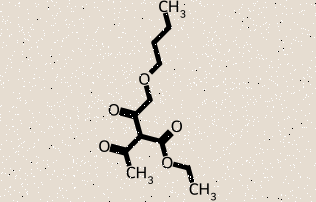 CCCCOCC(=O)C(C(C)=O)C(=O)OCC